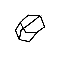 C1[C]2C[C]3C[C]1CC(C2)C3